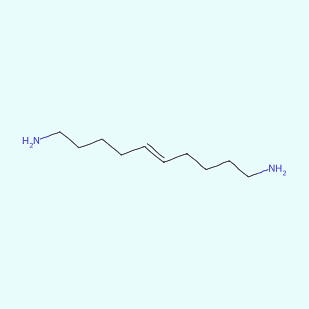 NCCCC/C=C/CCCCN